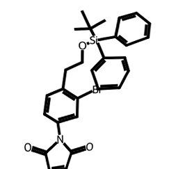 CC(C)(C)[Si](OCCc1ccc(N2C(=O)C=CC2=O)cc1Br)(c1ccccc1)c1ccccc1